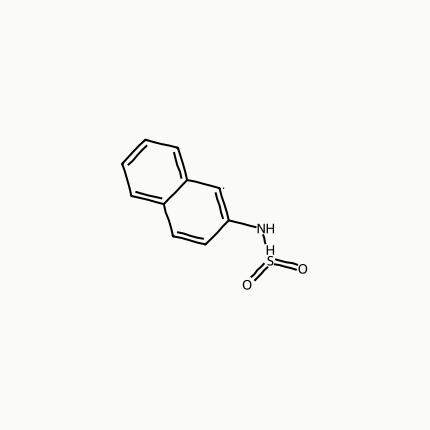 O=[SH](=O)Nc1[c]c2ccccc2cc1